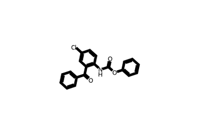 O=C(Nc1ccc(Cl)cc1C(=O)c1ccccc1)Oc1ccccc1